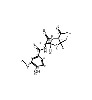 COc1cc(C(=O)N[C@@]2(C)C(=O)N3[C@@H](C(=O)O)C(C)(C)S[C@@H]32)ccc1O